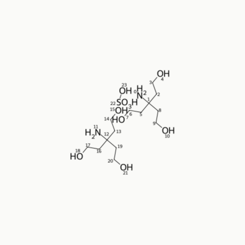 NC(CCO)(CCO)CCO.NC(CCO)(CCO)CCO.O=S(=O)(O)O